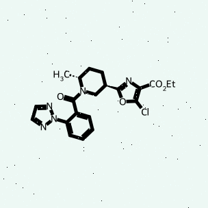 CCOC(=O)c1nc([C@@H]2CC[C@@H](C)N(C(=O)c3ccccc3-n3nccn3)C2)oc1Cl